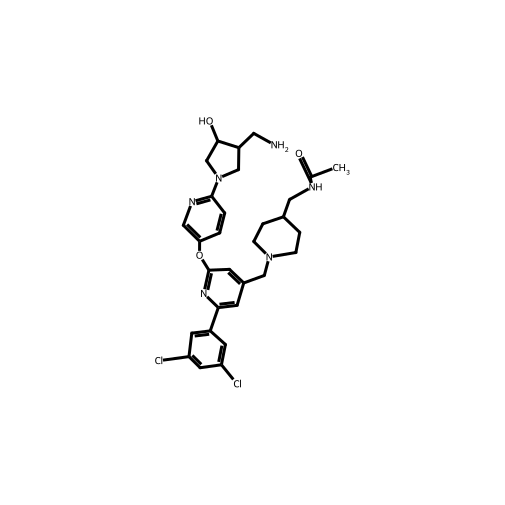 CC(=O)NCC1CCN(Cc2cc(Oc3ccc(N4CC(O)C(CN)C4)nc3)nc(-c3cc(Cl)cc(Cl)c3)c2)CC1